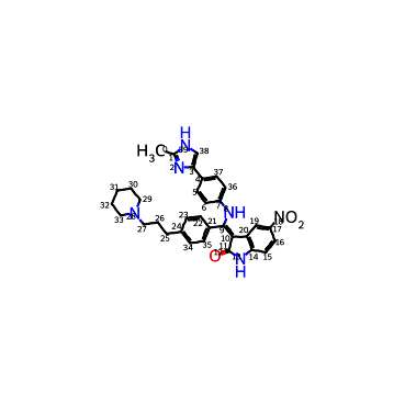 Cc1nc(-c2ccc(NC(=C3C(=O)Nc4ccc([N+](=O)[O-])cc43)c3ccc(CCCN4CCCCC4)cc3)cc2)c[nH]1